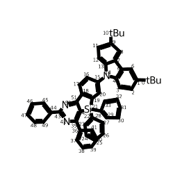 CC(C)(C)c1ccc2c(c1)c1cc(C(C)(C)C)ccc1n2-c1ccc2c(c1)[Si](c1ccccc1)(c1ccccc1)c1c(-c3ccccc3)nc(-c3ccccc3)nc1-2